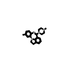 Cc1ccc2c(c1)N1CCc3cccc(c31)C(N1CCN(C)CC1)=N2